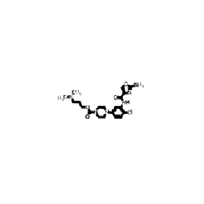 CN(C)CCCOC(=O)N1CCN(c2ccc(Cl)c(NC(=O)c3coc(N)n3)c2)CC1